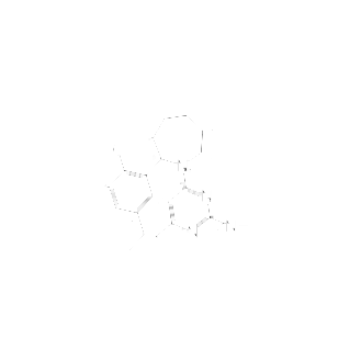 CCc1ccc(Cl)c(C2CCCCCN2c2cc(C)nc(N)n2)c1